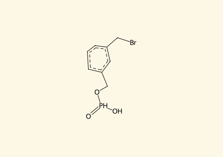 O=[PH](O)OCc1cccc(CBr)c1